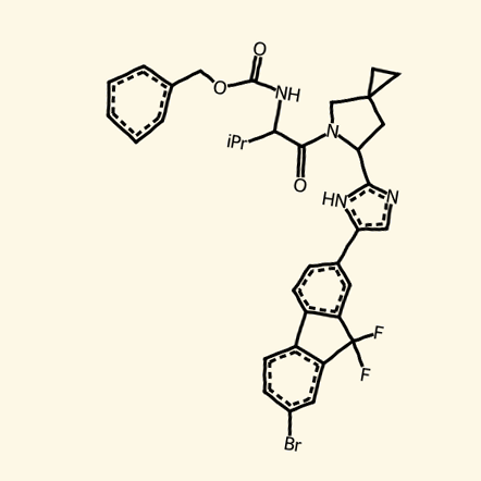 CC(C)C(NC(=O)OCc1ccccc1)C(=O)N1CC2(CC2)CC1c1ncc(-c2ccc3c(c2)C(F)(F)c2cc(Br)ccc2-3)[nH]1